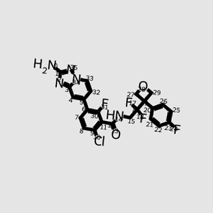 Nc1nc2cc(-c3ccc(Cl)c(C(=O)NCC(F)(F)C4(c5ccc(F)cc5)COC4)c3F)ccn2n1